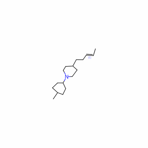 C/C=C/CCC1CCN(C2CCC(C)CC2)CC1